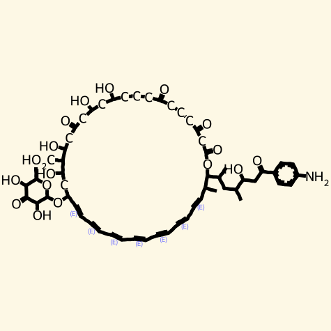 CC1/C=C/C=C/C=C/C=C/C=C/C=C/C=C/C(OC2OC(C)C(O)C(=O)C2O)CC(O)C(C(=O)O)C(O)CC(=O)CC(O)CC(O)CCCC(=O)CCCC(=O)CC(=O)OC1C(C)CC(C)C(O)CC(=O)c1ccc(N)cc1